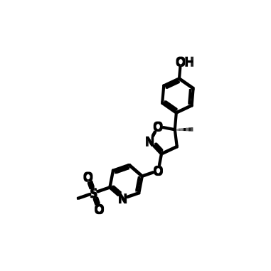 C[C@]1(c2ccc(O)cc2)CC(Oc2ccc(S(C)(=O)=O)nc2)=NO1